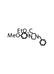 CCOC(=O)C1CN(Cc2ccccc2)CCN1c1ccc(OC)cc1